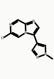 Cn1cc(-c2cnc3cnc(Cl)cn23)cn1